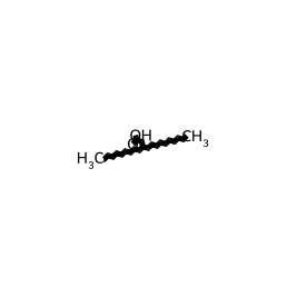 CCCCCCCCCCC(CCCCCCCCCC)CC(=O)O